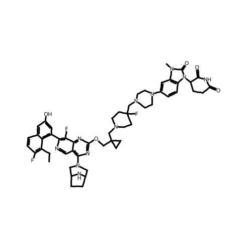 CCc1c(F)ccc2cc(O)cc(-c3ncc4c(N5CC6CCC(C5)N6)nc(OCC5(CN6CCC(F)(CN7CCN(c8ccc9c(c8)n(C)c(=O)n9C8CCC(=O)NC8=O)CC7)CC6)CC5)nc4c3F)c12